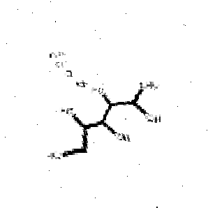 O=CC(O)C(O)C(O)C(O)CO.[Cl-].[Cl-].[Cl-].[Cr+3]